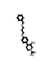 O=C(O)N1CCC(c2ccc(OCCCSCc3ccccc3)cc2)C(O)C1